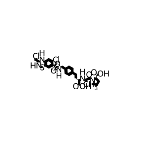 C[C@H](N[C@@H](CCc1ccc(CNS(=O)(=O)c2cc3c(cc2Cl)NC(CCl)NS3)cc1)C(=O)O)C(=O)N1CCC[C@H]1C(=O)O